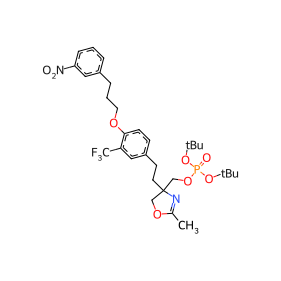 CC1=NC(CCc2ccc(OCCCc3cccc([N+](=O)[O-])c3)c(C(F)(F)F)c2)(COP(=O)(OC(C)(C)C)OC(C)(C)C)CO1